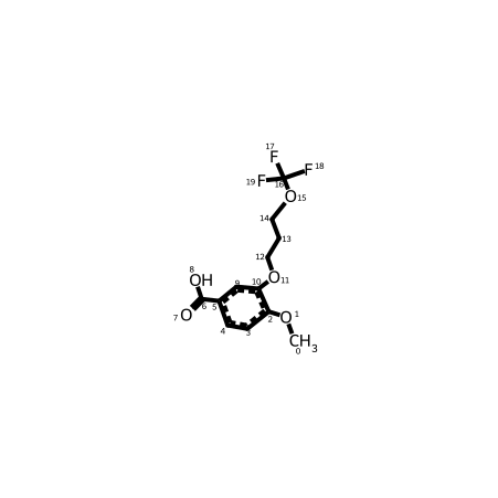 COc1ccc(C(=O)O)cc1OCCCOC(F)(F)F